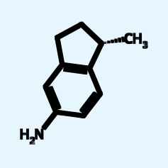 C[C@H]1CCc2cc(N)ccc21